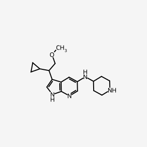 COCC(c1c[nH]c2ncc(NC3CCNCC3)cc12)C1CC1